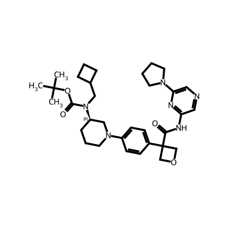 CC(C)(C)OC(=O)N(CC1CCC1)[C@@H]1CCCN(c2ccc(C3(C(=O)Nc4cncc(N5CCCC5)n4)COC3)cc2)C1